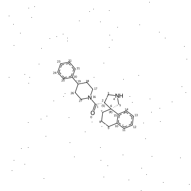 O=C([C@@H]1CNC[C@]12CCCc1ccccc12)N1CCC(c2ccccc2)CC1